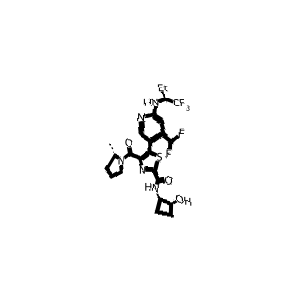 CC[C@H](Nc1cc(C(F)F)c(-c2sc(C(=O)N[C@H]3CC[C@@H]3O)nc2C(=O)N2CCC[C@@H]2C)cn1)C(F)(F)F